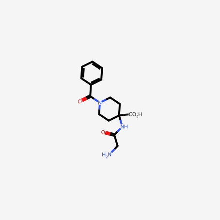 NCC(=O)NC1(C(=O)O)CCN(C(=O)c2ccccc2)CC1